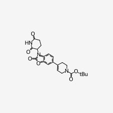 CC(C)(C)OC(=O)N1CC=C(c2ccc3c(c2)oc(=O)n3C2CCC(=O)NC2=O)CC1